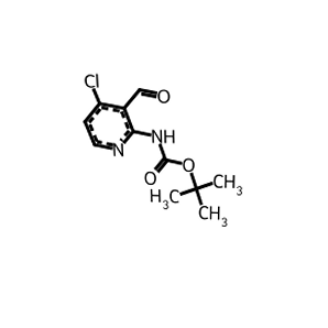 CC(C)(C)OC(=O)Nc1nccc(Cl)c1C=O